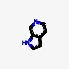 [c]1cc2cc[nH]c2cn1